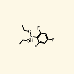 CCO[SiH](OCC)c1c(F)cc(F)cc1F